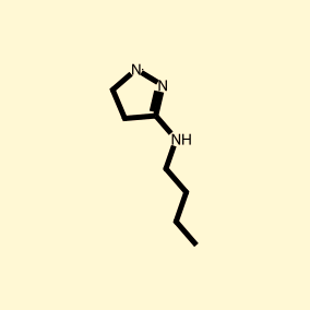 CCCCNC1=N[N]CC1